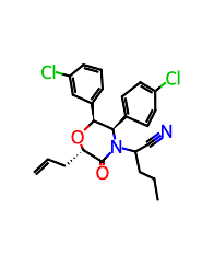 C=CC[C@@H]1O[C@@H](c2cccc(Cl)c2)[C@@H](c2ccc(Cl)cc2)N(C(C#N)CCC)C1=O